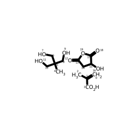 C=C(C)C(=O)O.CC(CO)(CO)CO.O=C1CC(O)C(=O)O1